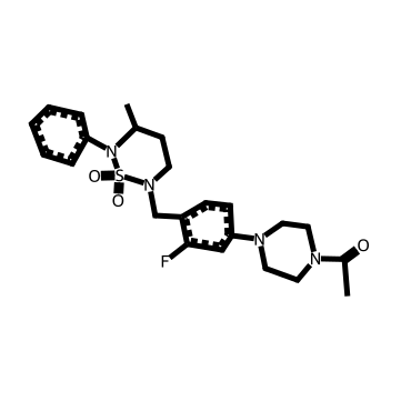 CC(=O)N1CCN(c2ccc(CN3CCC(C)N(c4ccccc4)S3(=O)=O)c(F)c2)CC1